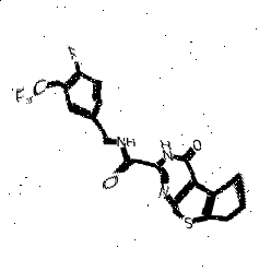 O=C(NCc1ccc(F)c(C(F)(F)F)c1)c1nc2sc3c(c2c(=O)[nH]1)CCC3